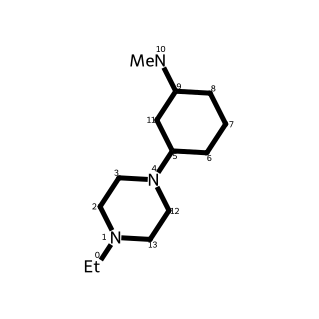 CCN1CCN(C2CCCC(NC)C2)CC1